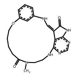 CN1CCNc2ncnc3c2/C(=C/Nc2cccc(c2)OCCCCC1=O)C(=O)N3